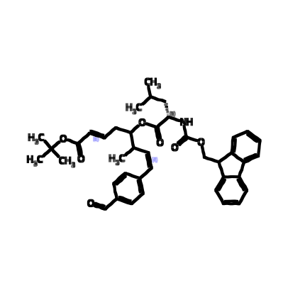 CC(C)C[C@H](NC(=O)OCC1c2ccccc2-c2ccccc21)C(=O)OC(C/C=C/C(=O)OC(C)(C)C)C(C)/C=C\c1ccc(C=O)cc1